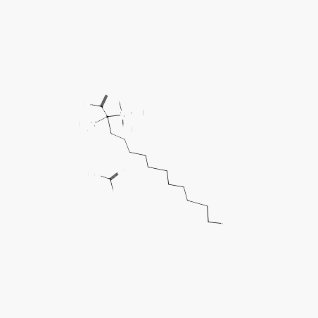 CC(=O)O.CCCCCCCCCCCCC(N)(C(=O)[O-])[N+](C)(C)C